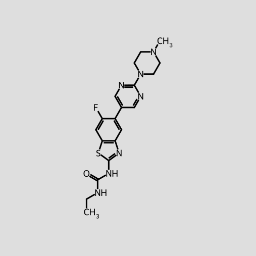 CCNC(=O)Nc1nc2cc(-c3cnc(N4CCN(C)CC4)nc3)c(F)cc2s1